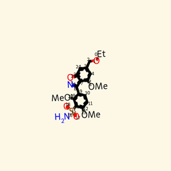 CCOCc1cc(OC)c2c(-c3ccc(OC)c(S(N)(=O)=O)c3OC)noc2c1